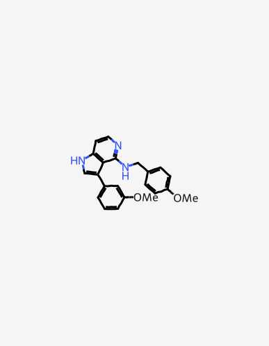 COc1ccc(CNc2nccc3[nH]cc(-c4cccc(OC)c4)c23)cc1